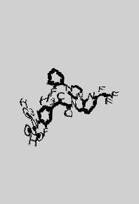 CC(C(=O)NCc1ccc(C(F)(F)F)nc1N1CCN(c2ccccc2F)CC1)c1ccc(N(C)[SH](=O)=O)c(F)c1